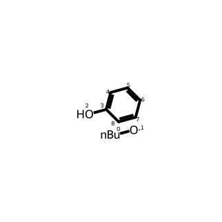 CCCC[O].Oc1ccccc1